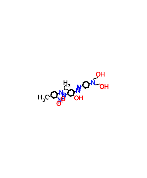 Cc1ccc(/N=N/c2cc(O)c(/N=N/c3ccc(N(CCO)CCO)cc3)cc2C)c([N+](=O)[O-])c1